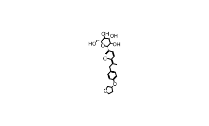 C=C(/C=C\C(Cl)=C(/C)Cc1ccc(O[C@H]2CCOC2)cc1)[C@@H]1O[C@H](CO)[C@@H](O)[C@H](O)[C@H]1O